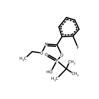 CCON=C(OP(=O)(O)C(C)(C)C)c1ccccc1F